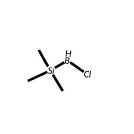 C[Si](C)(C)BCl